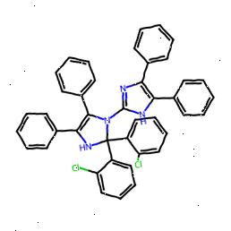 Clc1ccccc1C1(c2ccccc2Cl)NC(c2ccccc2)=C(c2ccccc2)N1c1nc(-c2ccccc2)c(-c2ccccc2)[nH]1